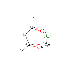 CC(=O)CC(C)=O.[Cl][Fe]